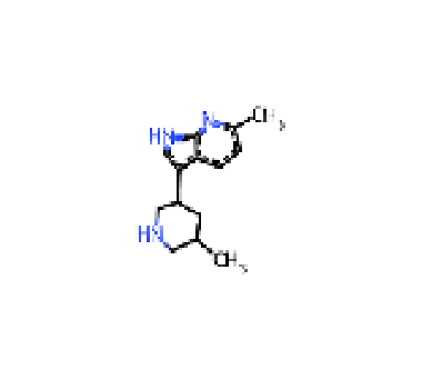 Cc1ccc2c(C3CNCC(C)C3)c[nH]c2n1